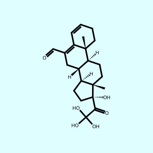 C[C@]12CCC=CC1=C(C=O)C[C@@H]1[C@@H]2CC[C@@]2(C)[C@H]1CC[C@]2(O)C(=O)C(O)(O)O